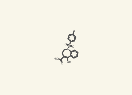 Cc1ccc(S(=O)(=O)N2CCC(C(=O)O)=C(O)c3ccccc32)cc1